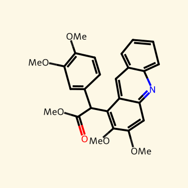 COC(=O)C(c1ccc(OC)c(OC)c1)c1c(OC)c(OC)cc2nc3ccccc3cc12